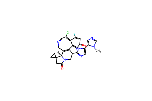 Cn1cncc1-c1cnc(C2CN3C(=O)CC4(CC4)[C@@H]3C3=C2C2=CC(=O)C=C(F)C2=C(Cl)C=NC3)[nH]1